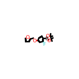 CC1(C)OB(c2ccc(OCc3ccco3)cc2F)OC1(C)C